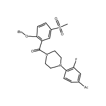 CCC(C)Oc1ccc(S(C)(=O)=O)cc1C(=O)N1CCN(c2ccc(C(C)=O)cc2F)CC1